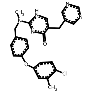 Cc1cc(Oc2ccc(CN(C)c3nc(=O)c(Cc4cncnc4)c[nH]3)cc2)ccc1Cl